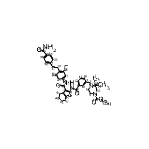 CC(C)(C)OC(=O)N1CCN(Cc2cccc(C(=O)Nc3sc4c(c3C(=O)Nc3cc(F)c(CCc5ccc(C(N)=O)cc5)c(F)c3)CCCC4)c2)C(C)(C)C1